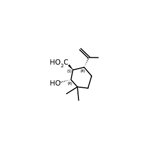 C=C(C)[C@@H]1CCC(C)(C)[C@H](O)[C@H]1C(=O)O